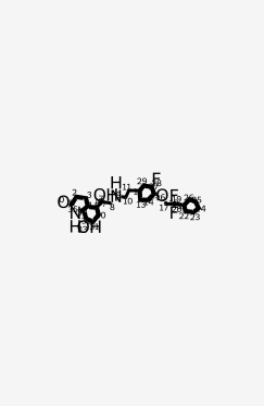 O=c1ccc2c([C@@H](O)CNCCc3ccc(OCC(F)(F)c4ccccc4)c(F)c3)ccc(O)c2[nH]1